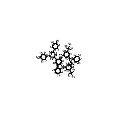 Cc1ccc(-c2nc(-c3ccc(C)cc3)nc(-c3cc4c5ccccc5n(-c5cc(C(C)(C)C)ccn5)c4cc3Oc3cc(-n4c[n+](C)c5ccccc54)cc(C(C)(C)C)c3)n2)cc1